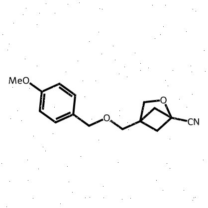 COc1ccc(COCC23COC(C#N)(C2)C3)cc1